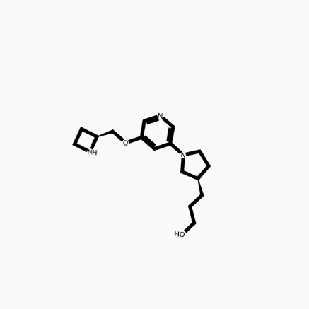 OCCC[C@@H]1CCN(c2cncc(OC[C@@H]3CCN3)c2)C1